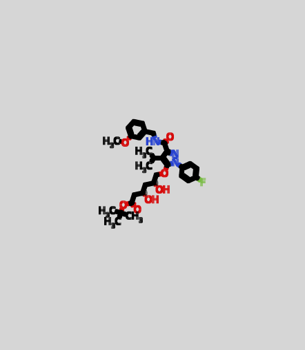 COc1cccc(CNC(=O)c2nn(-c3ccc(F)cc3)c(OC[C@@H](O)C[C@@H](O)CC(=O)OC(C)(C)C)c2C(C)C)c1